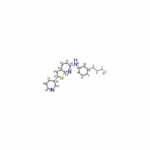 FCCCc1cccc(Nc2ccc3cc(-c4cccnc4)sc3n2)c1